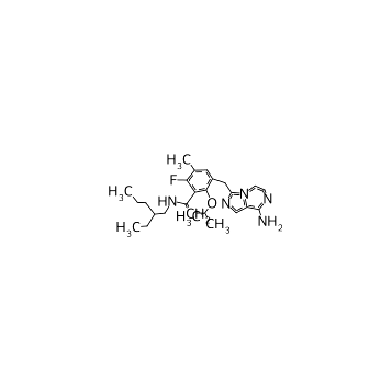 C=C(NCC(CC)CCC)c1c(F)c(C)cc(Cc2ncc3c(N)nccn23)c1OC(C)C